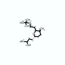 C=C1CC[C@H](CCC(O)CCC)OC1CCOC(C)(C)O